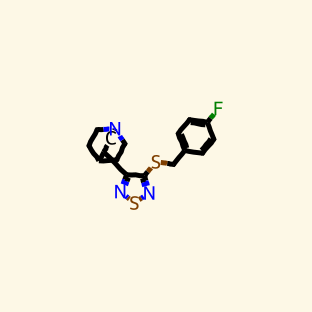 Fc1ccc(CSc2nsnc2C2CN3CCC2CC3)cc1